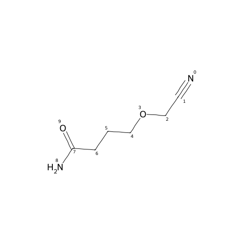 N#CCOCCCC(N)=O